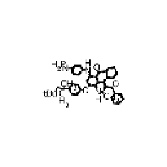 C=c1[nH]c2c(Oc3ccc(C(C)(C)CC(C)(C)C)cc3)cc(Nc3ccc(NP)cc3)c3c2-c(c1C(=O)c1ccccc1)c1ccccc1c3=O